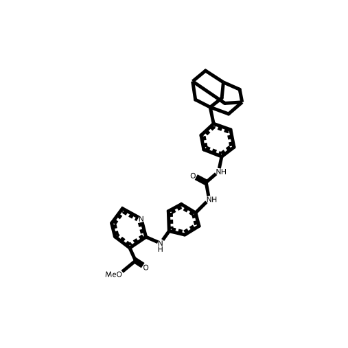 COC(=O)c1cccnc1Nc1ccc(NC(=O)Nc2ccc(C34CC5CC(CC(C5)C3)C4)cc2)cc1